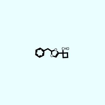 O=CC1(C2=COC(Cc3ccccc3)O2)CCC1